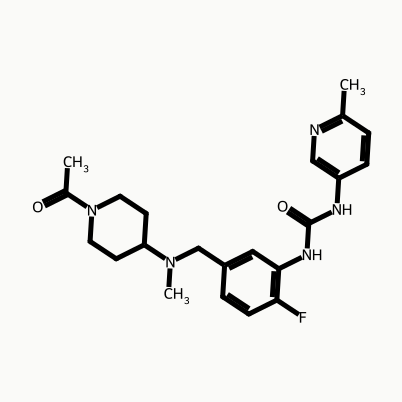 CC(=O)N1CCC(N(C)Cc2ccc(F)c(NC(=O)Nc3ccc(C)nc3)c2)CC1